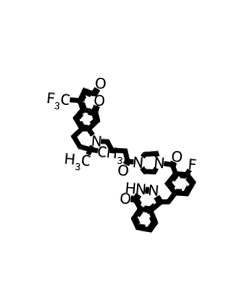 CC1(C)CCc2cc3c(C(F)(F)F)cc(=O)oc3cc2N1CCCC(=O)N1CCN(C(=O)c2cc(Cc3n[nH]c(=O)c4ccccc34)ccc2F)CC1